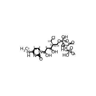 CNc1ccn([C@H](O)C[C@H](O)[C@@H](CCl)COP(=O)(O)OP(=O)(O)OP(=O)(O)O)c(=O)n1